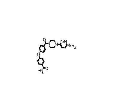 CN(C)C(=O)c1ccc(Oc2ccc(C(=O)N3CCN(c4ccc(N)nn4)CC3)cc2)cc1